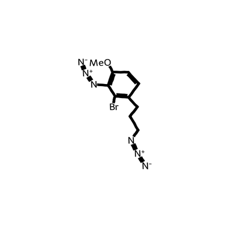 COc1ccc(CCCN=[N+]=[N-])c(Br)c1N=[N+]=[N-]